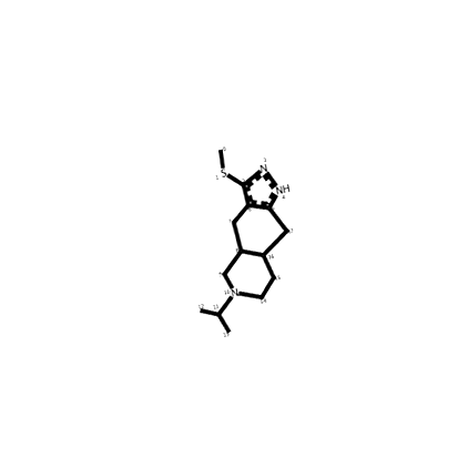 CSc1n[nH]c2c1CC1CN(C(C)C)CCC1C2